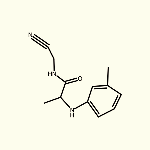 Cc1cccc(NC(C)C(=O)NCC#N)c1